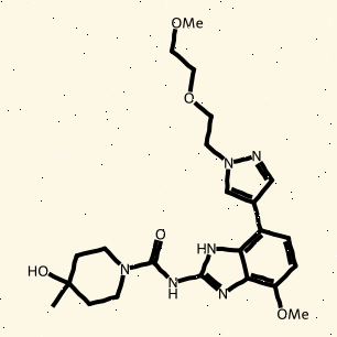 COCCOCCn1cc(-c2ccc(OC)c3nc(NC(=O)N4CCC(C)(O)CC4)[nH]c23)cn1